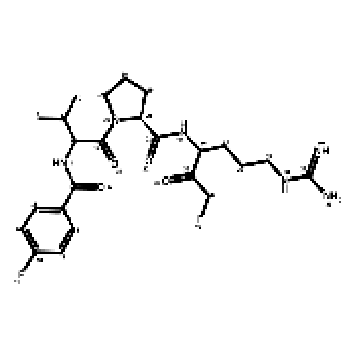 CC(C)C(NC(=O)c1ccc(F)cc1)C(=O)N1CCC[C@H]1C(=O)NC(CCCNC(=N)N)C(=O)CF